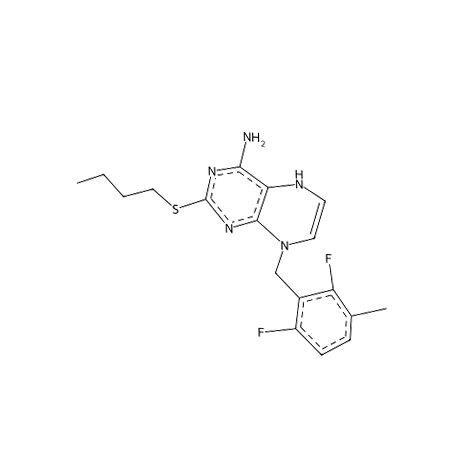 CCCCSc1nc(N)c2c(n1)N(Cc1c(F)ccc(C)c1F)C=CN2